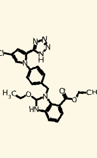 CCOC(=O)c1cccc2c1N(Cc1ccc(-n3cc(Cl)cc3-c3nnn[nH]3)cc1)C(OCC)N2